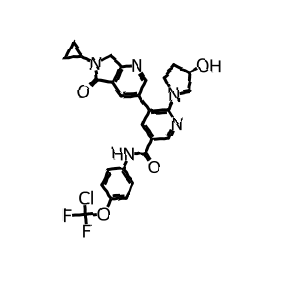 O=C(Nc1ccc(OC(F)(F)Cl)cc1)c1cnc(N2CC[C@@H](O)C2)c(-c2cnc3c(c2)C(=O)N(C2CC2)C3)c1